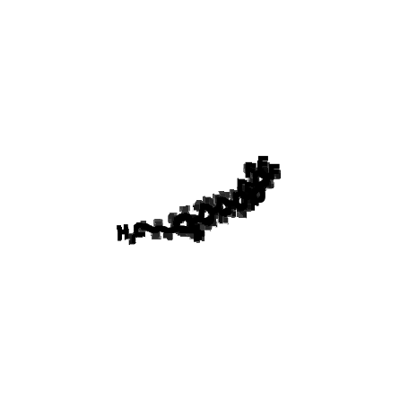 CCCCCc1ccc(-c2ccc(-c3ccc(-c4ccc(C(F)(F)Oc5cc(F)c(F)c(F)c5)c(F)c4)cc3)cc2)c(F)c1